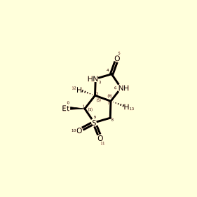 CC[C@H]1[C@H]2NC(=O)N[C@H]2CS1(=O)=O